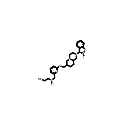 CCN(CCO)Cc1cccc(OCC2CCC3CN(C4c5ccccc5ON4F)CCN3C2)n1